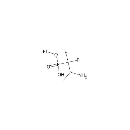 CCOP(=O)(O)C(F)(F)C(C)N